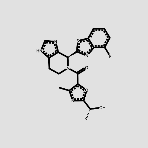 Cc1nc([C@@H](C)O)oc1C(=O)N1CCc2[nH]cnc2[C@H]1c1nc2c(F)cccc2s1